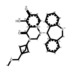 COCC12CC(N3CN([C@H]4c5ccccc5CSc5ccccc54)n4ccc(=O)c(O)c4C3=O)(C1)C2